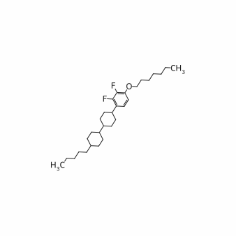 CCCCCCCOc1ccc(C2CCC(C3CCC(CCCCC)CC3)CC2)c(F)c1F